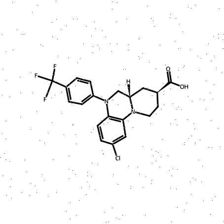 O=C(O)[C@H]1CCN2c3cc(Cl)ccc3N(c3ccc(C(F)(F)F)cc3)C[C@@H]2C1